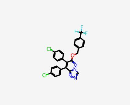 FC(F)(F)c1ccc(COc2nn3cnnc3c(-c3ccc(Cl)cc3)c2-c2ccc(Cl)cc2)cc1